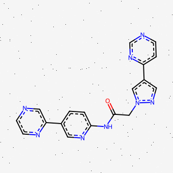 O=C(Cn1cc(-c2ccncn2)cn1)Nc1ccc(-c2cnccn2)cn1